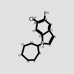 Fc1cc2ccn(C3CCCCCC3)c2cc1Cl